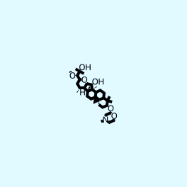 CO[C@@H](C1C[C@@H](C)[C@H]2C(O1)[C@H](O)[C@@]1(C)C3CCC4C(C)(C)[C@@H](O[C@H]5CN(C)CCO5)CC[C@@]45CC35CC[C@]21C)C(C)(C)O